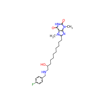 Cn1c(CCCCCCCCCC(O)CNCc2ccc(F)cc2)nc2c1c(=O)[nH]c(=O)n2C